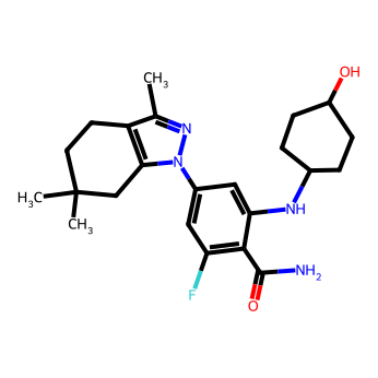 Cc1nn(-c2cc(F)c(C(N)=O)c(NC3CCC(O)CC3)c2)c2c1CCC(C)(C)C2